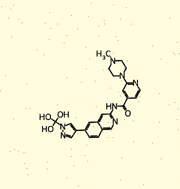 CN1CCN(c2cc(C(=O)Nc3cc4cc(-c5cnn(C(O)(O)O)c5)ccc4cn3)ccn2)CC1